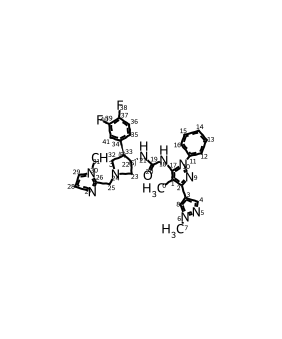 Cc1c(-c2cnn(C)c2)nn(-c2ccccc2)c1NC(=O)N[C@@H]1CN(Cc2nccn2C)C[C@H]1c1ccc(F)c(F)c1